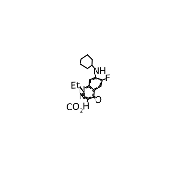 CCn1nc(C(=O)O)c(=O)c2cc(F)c(NC3CCCCC3)cc21